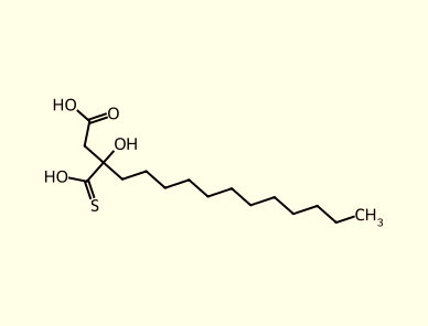 CCCCCCCCCCCCC(O)(CC(=O)O)C(O)=S